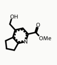 COC(=O)c1cc(CO)c2c(n1)CCC2